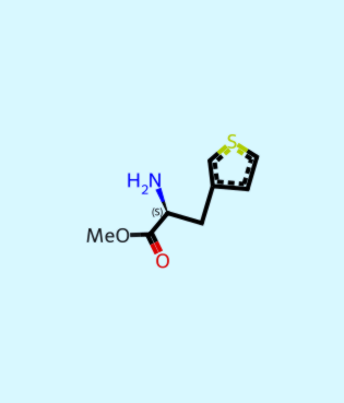 COC(=O)[C@@H](N)Cc1ccsc1